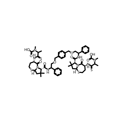 CC(C(=S)N[C@H]1CCS[C@H]2CC(C)(C)[C@@H](C(=O)NC(COCc3ccc(COCC(NC(=O)[C@H]4N5C(=O)[C@@H](NC(=S)C(C)N(C)C(=O)O)CCS[C@H]5CC4(C)C)c4ccccc4)cc3)c3ccccc3)N2C1=O)N(C)C(=O)O